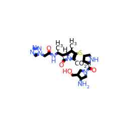 C[C@@H](NC(=O)Cn1cnnn1)[C@H]1C(=O)N2C(C(=O)O)=C(S[C@@H]3CN[C@H](C(=O)N4CC(N)C(CO)C4)C3)[C@H](C)[C@H]12